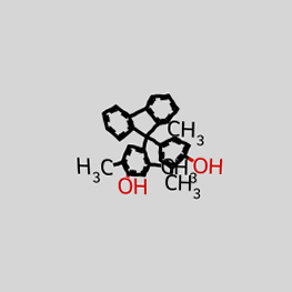 Cc1cc(C2(c3cc(C)c(O)cc3C)c3ccccc3-c3ccccc32)c(C)cc1O